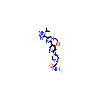 CC(C)n1ncnc1-c1cn2c(n1)-c1cnc(N3CCN(CC(N)=O)CC3)cc1OCC2